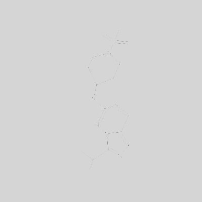 CC(C)c1ncc2cnc(NC3CCN(S(C)(=O)=O)CC3)nn12